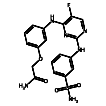 NC(=O)COc1cccc(Nc2nc(Nc3cccc(S(N)(=O)=O)c3)ncc2F)c1